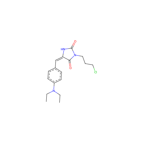 CCN(CC)c1ccc(C=C2NC(=O)N(CCCCl)C2=O)cc1